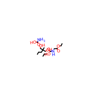 CCC.CCCC(C)(CO)CO.CCOC(=O)CNC(=O)O.NC(=O)O